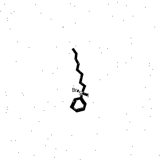 CCCCCCCC[Si](Br)(I)c1ccccc1